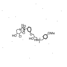 COc1ccc(CC(C)(C)NC[C@@H](O)COc2cccc(S(=O)(=O)NN3CCC(O)C(Cl)C3Cl)c2)cc1